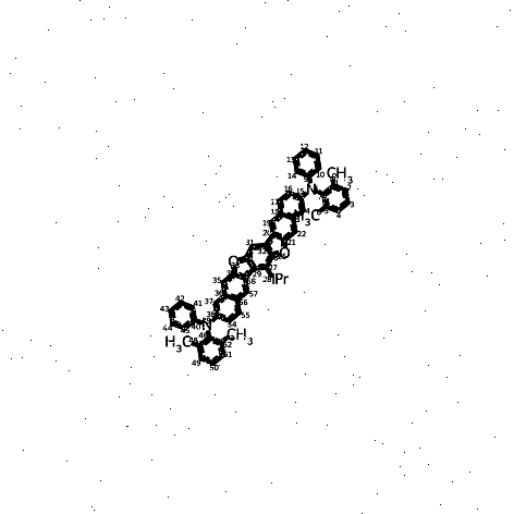 Cc1cccc(C)c1N(c1ccccc1)c1ccc2cc3c(cc2c1)oc1c(C(C)C)c2c(cc13)oc1cc3cc(N(c4ccccc4)c4c(C)cccc4C)ccc3cc12